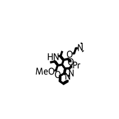 COC(=O)C1=C(C)NC(C)=C(C(=O)OCCN(C)C)C1c1c(C(C)C)nn2ccccc12